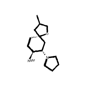 CN[C@H]1CC[C@@]2(CC(C)CO2)C[C@@H]1N1CCCC1